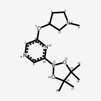 CN1CCC(Oc2cncc(B3OC(C)(C)C(C)(C)O3)n2)C1